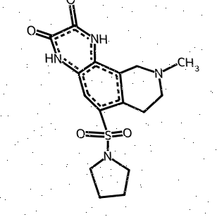 CN1CCc2c(S(=O)(=O)N3CCCC3)cc3[nH]c(=O)c(=O)[nH]c3c2C1